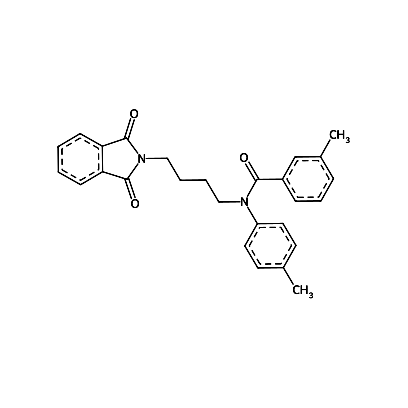 Cc1ccc(N(CCCCN2C(=O)c3ccccc3C2=O)C(=O)c2cccc(C)c2)cc1